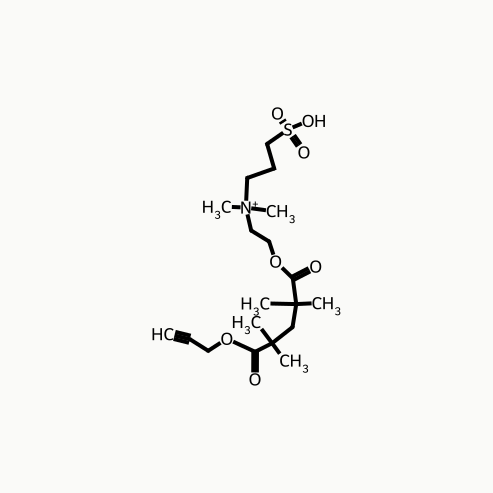 C#CCOC(=O)C(C)(C)CC(C)(C)C(=O)OCC[N+](C)(C)CCCS(=O)(=O)O